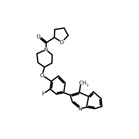 Cc1c(-c2ccc(OC3CCN(C(=O)C4CCCO4)CC3)c(F)c2)cnc2ccccc12